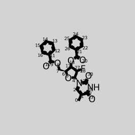 Cc1cn([C@H]2O[C@@H](COC(=O)c3ccccc3)C(OC(=O)c3ccccc3)C2F)c(=O)[nH]c1=O